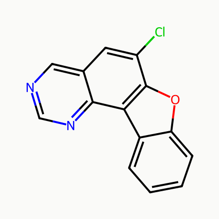 Clc1cc2cncnc2c2c1oc1ccccc12